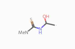 [CH2]C(O)NC(=S)NC